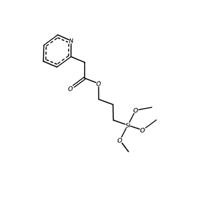 CO[Si](CCCOC(=O)Cc1ccccn1)(OC)OC